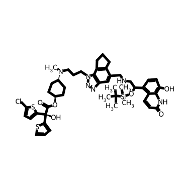 CN(CCCn1nnc2cc(CNCC(O[Si](C)(C)C(C)(C)C)c3ccc(O)c4[nH]c(=O)ccc34)c3c(c21)CCC3)[C@H]1CC[C@H](OC(=O)[C@](O)(c2cccs2)c2ccc(Cl)s2)CC1